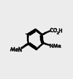 CNc1[c]cc(C(=O)O)c(NC)c1